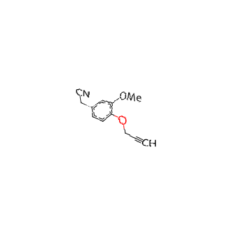 C#CCOc1ccc(CC#N)cc1OC